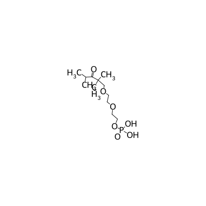 CC(C)C(=O)C(C)(C)COCCOCCOP(=O)(O)O